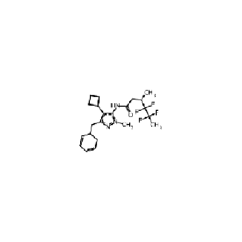 C[C@H](CC(=O)Nc1c(C2CCC2)c(CC2C=CC=CC2)nn1C)C(F)(F)C(C)(F)F